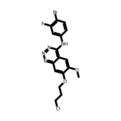 COc1cc2c(Nc3ccc(Br)c(F)c3)nnnc2cc1OCCCCl